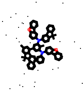 Cc1cc(-c2cc(N(c3ccccc3)c3ccc4oc5ccccc5c4c3)c(C)c(N(c3ccc4c(c3)-c3ccccc3C4(C)C)c3ccc4oc5ccccc5c4c3)c2)c2c(c1)C(C)(C)c1c-2ccc2ccccc12